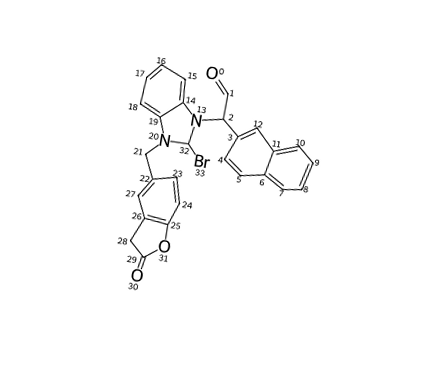 O=CC(c1ccc2ccccc2c1)N1c2ccccc2N(Cc2ccc3c(c2)CC(=O)O3)C1Br